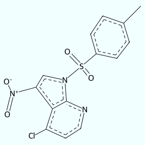 Cc1ccc(S(=O)(=O)n2cc([N+](=O)[O-])c3c(Cl)ccnc32)cc1